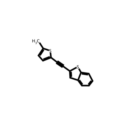 Cc1ccc(C#Cc2cc3ccccc3s2)s1